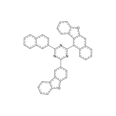 c1ccc2cc(-c3nc(-c4ccc5oc6ccccc6c5c4)nc(-c4c5ccccc5cc5oc6ccccc6c45)n3)ccc2c1